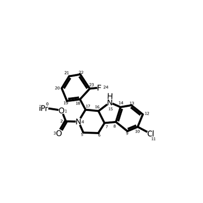 CC(C)OC(=O)N1CCC2c3cc(Cl)ccc3NC2C1c1ccccc1F